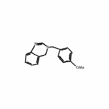 COc1ccc(CN2C=Nc3ccccc3C2)cc1